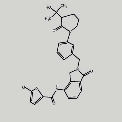 CC(C)(O)C1CCCN(c2cccc(CN3Cc4c(NC(=O)c5ccc(Cl)s5)cccc4C3=O)c2)C1=O